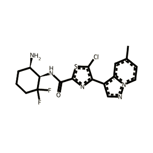 Cc1ccn2ncc(-c3nc(C(=O)N[C@@H]4[C@H](N)CCCC4(F)F)sc3Cl)c2c1